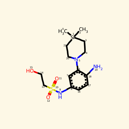 C[Si]1(C)CCN(c2cc(NS(=O)(=O)CCO)ccc2N)CC1